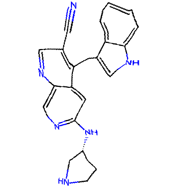 N#Cc1cnc2cnc(N[C@@H]3CCNC3)cc2c1-c1c[nH]c2ccccc12